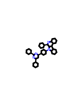 c1ccc(-c2cc(-c3ccc(-n4c5ccccc5c5c6ccccc6nc(-c6ccccc6)c54)cc3)nc(-c3ccccc3)n2)cc1